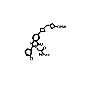 COC1CN(CC2CC(c3ccc4nc(-c5cccc(Cl)c5)n(CC(=O)NC(C)C)c(=O)c4c3)C2)C1